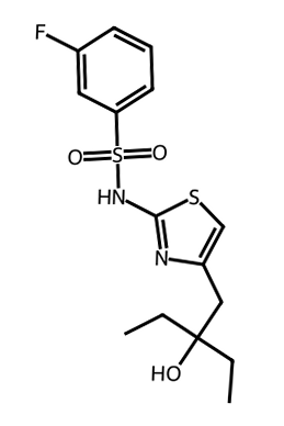 CCC(O)(CC)Cc1csc(NS(=O)(=O)c2cccc(F)c2)n1